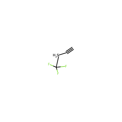 C#C[SiH2]C(F)(F)F